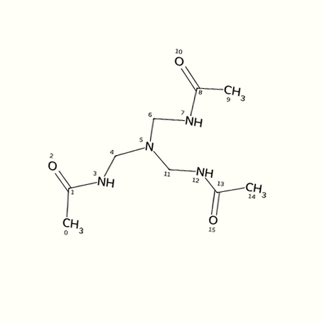 CC(=O)NCN(CNC(C)=O)CNC(C)=O